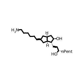 CCCCC[C@H](O)/C=C/[C@@H]1[C@H]2C/C(=C/CCCCCN)C[C@H]2C[C@H]1O